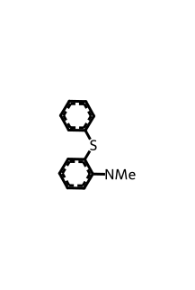 CNc1ccccc1Sc1ccccc1